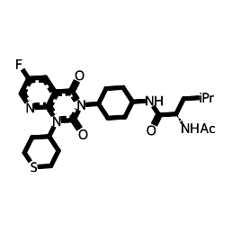 CC(=O)N[C@@H](CC(C)C)C(=O)NC1CCC(n2c(=O)c3cc(F)cnc3n(C3CCSCC3)c2=O)CC1